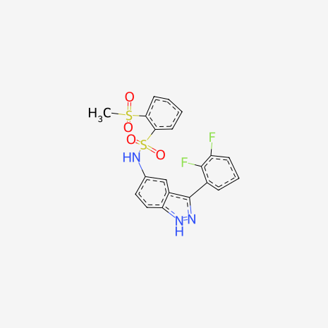 CS(=O)(=O)c1ccccc1S(=O)(=O)Nc1ccc2[nH]nc(-c3cccc(F)c3F)c2c1